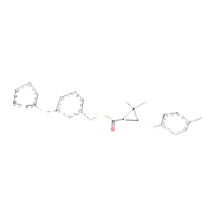 Cc1ccc(OC2C(C(=O)OCc3cccc(Oc4ccccc4)c3)C2(C)C)cc1